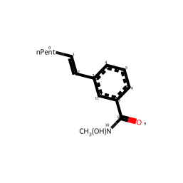 CCCCCC=Cc1cccc(C(=O)N(C)O)c1